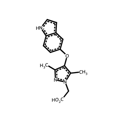 Cc1nn(CC(=O)O)c(C)c1Oc1ccc2[nH]ccc2c1